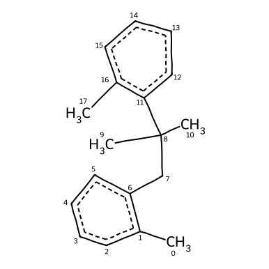 Cc1ccccc1CC(C)(C)c1ccccc1C